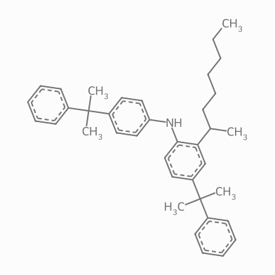 CCCCCCC(C)c1cc(C(C)(C)c2ccccc2)ccc1Nc1ccc(C(C)(C)c2ccccc2)cc1